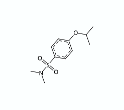 CC(C)Oc1ccc(S(=O)(=O)N(C)C)cc1